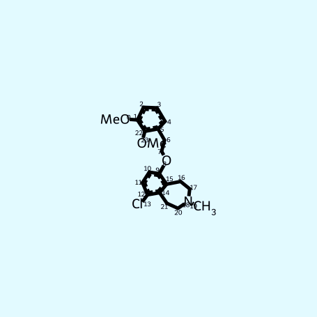 COc1cccc(CCOc2ccc(Cl)c3c2CCN(C)CC3)c1OC